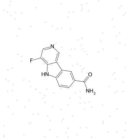 NC(=O)c1ccc2[nH]c3c(F)cncc3c2c1